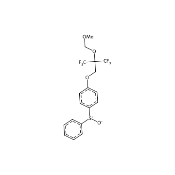 COCOC(COc1ccc([S+]([O-])c2ccccc2)cc1)(C(F)(F)F)C(F)(F)F